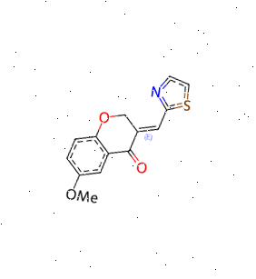 COc1ccc2c(c1)C(=O)/C(=C/c1nccs1)CO2